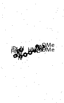 COC(=O)N[C@H](C(=O)N1CCC[C@H]1c1ncc(-c2ccc(-c3ccc(-c4cnc([C@@H]5C6CCC(C6)[C@H]5C(=O)N[C@H](c5cccnc5)C(C)C)[nH]4)cc3)cc2)[nH]1)[C@@H](C)OC